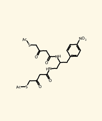 CC(=O)SCC(=O)CC(=O)NCC(Cc1ccc([N+](=O)[O-])cc1)NC(=O)CC(=O)CSC(C)=O